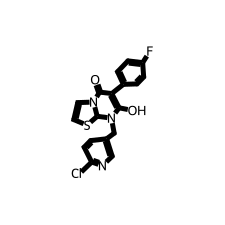 O=C1C(c2ccc(F)cc2)=C(O)N(Cc2ccc(Cl)nc2)C2SC=CN12